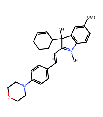 COc1ccc2c(c1)C(C)(C1C=CCCC1)C(/C=C/c1ccc(N3CCOCC3)cc1)=[N+]2C